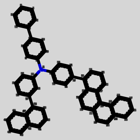 c1ccc(-c2ccc(N(c3ccc(-c4cccc5c4ccc4ccc6ccccc6c45)cc3)c3cccc(-c4cccc5ccccc45)c3)cc2)cc1